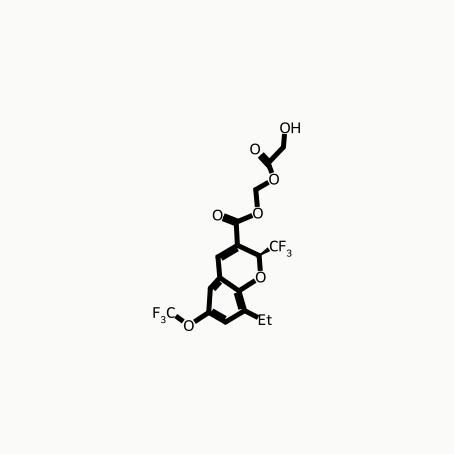 CCc1cc(OC(F)(F)F)cc2c1O[C@H](C(F)(F)F)C(C(=O)OCOC(=O)CO)=C2